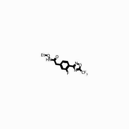 CCONC(=O)Cc1ccc(-c2noc(C(F)(F)F)n2)c(F)c1